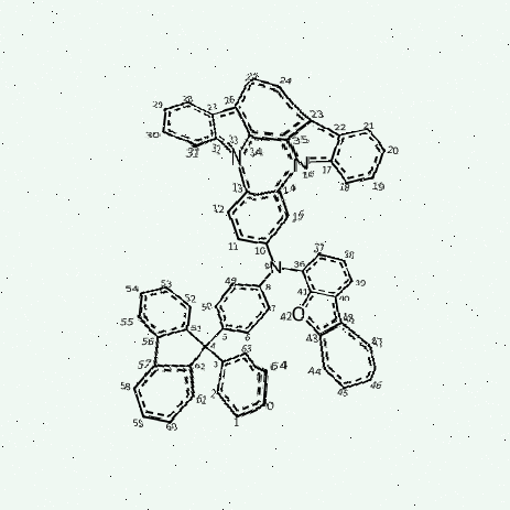 c1ccc(C2(c3ccc(N(c4ccc5c(c4)n4c6ccccc6c6ccc7c8ccccc8n5c7c64)c4cccc5c4oc4ccccc45)cc3)c3ccccc3-c3ccccc32)cc1